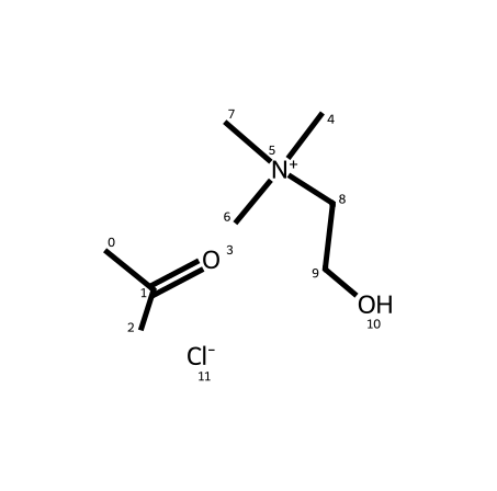 CC(C)=O.C[N+](C)(C)CCO.[Cl-]